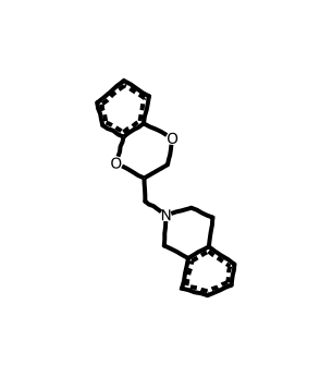 c1ccc2c(c1)CCN(CC1COc3ccccc3O1)C2